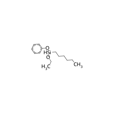 CCCCCC[SiH](OCC)Oc1ccccc1